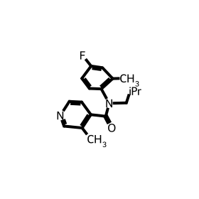 Cc1cnccc1C(=O)N(CC(C)C)c1ccc(F)cc1C